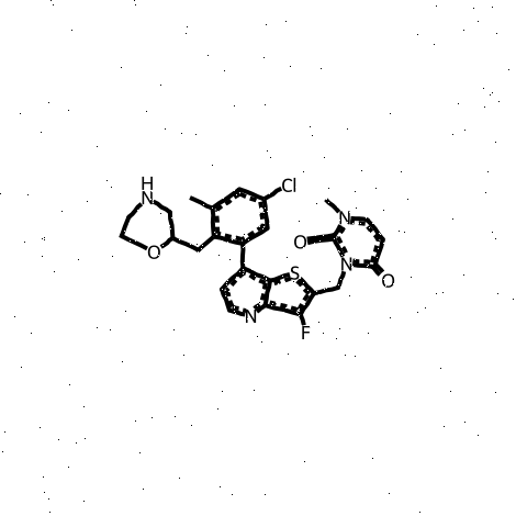 Cc1cc(Cl)cc(-c2ccnc3c(F)c(Cn4c(=O)ccn(C)c4=O)sc23)c1CC1CNCCO1